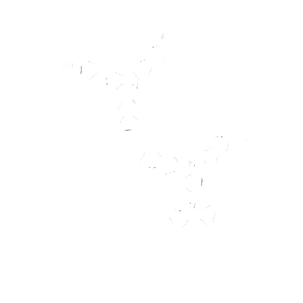 CC(C)c1ccc2cc3c(cc2c1)c1cc(-c2ccc(C(C)(C)C)cc2)cc2c4cc5cc(C(C)CCC(C)c6ccc7cc8c(cc7c6)c6cc(-n7c9ccccc9c9ccccc97)cc7c9cc%10cc(C(C)C)ccc%10cc9n8c76)ccc5cc4n3c12